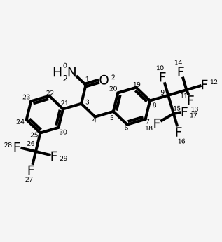 NC(=O)C(Cc1ccc(C(F)(C(F)(F)F)C(F)(F)F)cc1)c1cccc(C(F)(F)F)c1